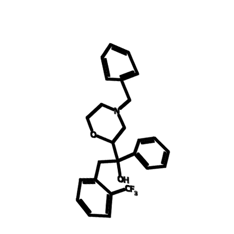 OC(Cc1ccccc1C(F)(F)F)(c1ccccc1)C1CN(Cc2ccccc2)CCO1